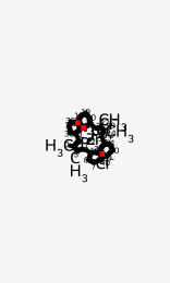 Cc1c(C)c(-c2ccccc2)[p]([Zr+2][p]2c(-c3ccccc3)c(C)c(C)c2-c2ccccc2)c1-c1ccccc1.[Cl-].[Cl-]